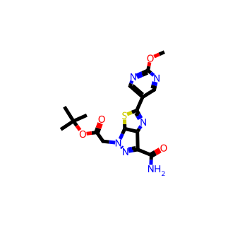 COc1ncc(C2=NC3C(C(N)=O)=NN(CC(=O)OC(C)(C)C)C3S2)cn1